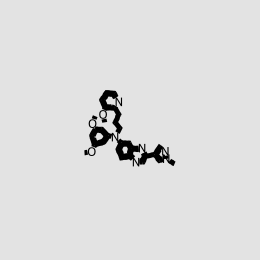 COc1cc(OC)cc(N(CCCc2ncccc2OC)c2ccc3ncc(-c4cnn(C)c4)nc3c2)c1